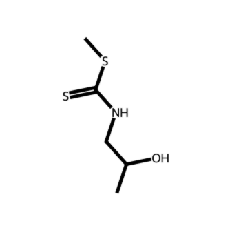 CSC(=S)NCC(C)O